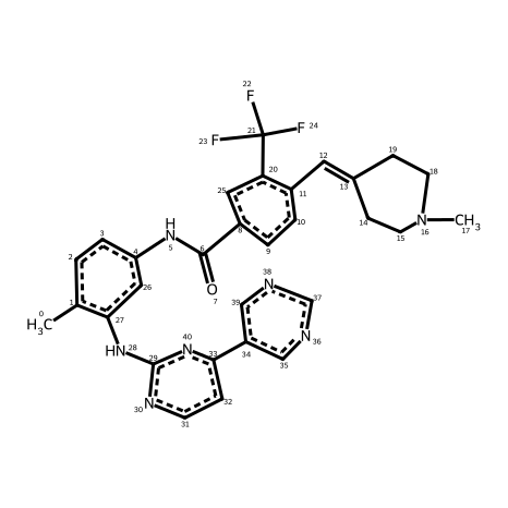 Cc1ccc(NC(=O)c2ccc(C=C3CCN(C)CC3)c(C(F)(F)F)c2)cc1Nc1nccc(-c2cncnc2)n1